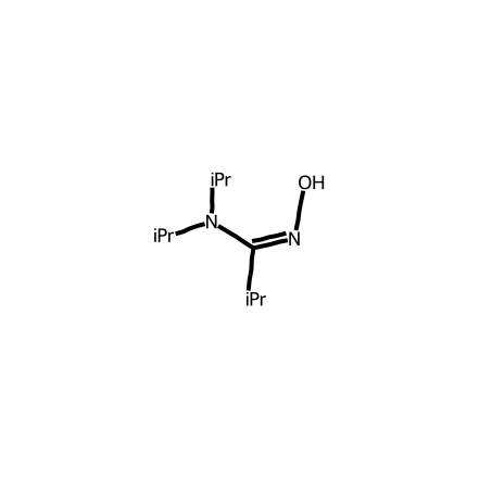 CC(C)C(=NO)N(C(C)C)C(C)C